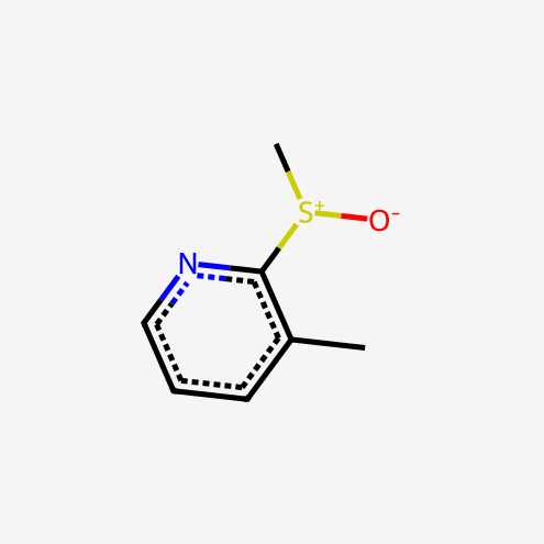 Cc1cccnc1[S+](C)[O-]